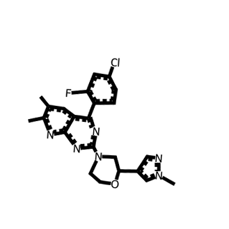 Cc1cc2c(-c3ccc(Cl)cc3F)nc(N3CCOC(c4cnn(C)c4)C3)nc2nc1C